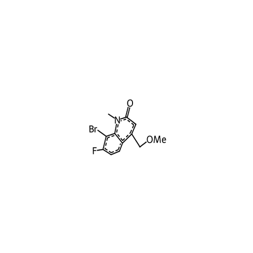 COCc1cc(=O)n(C)c2c(Br)c(F)ccc12